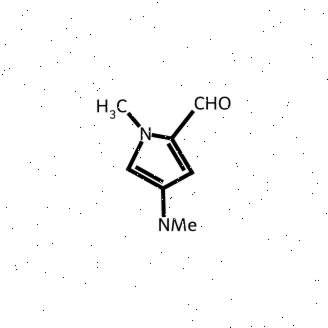 CNc1cc(C=O)n(C)c1